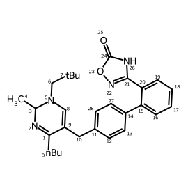 CCCCC1=NC(C)N(CC(C)(C)C)C=C1Cc1ccc(-c2ccccc2-c2noc(=O)[nH]2)cc1